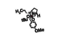 C=CC[C@@H]1C2CC[C@H](CN1Cc1ccc(OC)cc1)N2C(=O)OC(C)(C)C